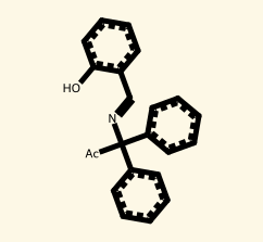 CC(=O)C(/N=C/c1ccccc1O)(c1ccccc1)c1ccccc1